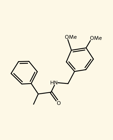 COc1ccc(CNC(=O)C(C)c2ccccc2)cc1OC